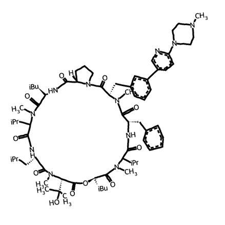 CC[C@H](C)[C@@H]1NC(=O)[C@@H]2CCCN2C(=O)[C@H](Cc2cccc(-c3ccc(N4CCN(C)CC4)nc3)c2)N(C)C(=O)[C@H](Cc2ccccc2)NC(=O)C(C(C)C)N(C)C(=O)[C@@H]([C@@H](C)CC)OC(=O)[C@H](C(C)(C)O)N(C)C(=O)[C@H](CC(C)C)NC(=O)C(C(C)C)N(C)C1=O